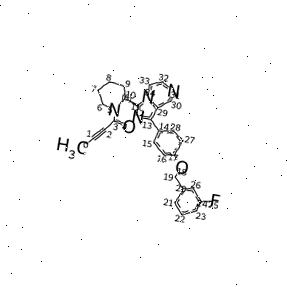 CC#CC(=O)N1CCCC[C@H]1c1nc(-c2ccc(OCc3cccc(F)c3)cc2)c2cnccn12